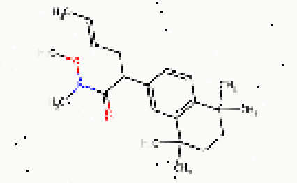 CC=CCC(C(=O)N(C)OC)c1ccc2c(c1)C(C)(C)CCC2(C)C